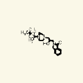 CC(C)(C)OC(=O)N1CCN(CC(O)CN2Cc3ccccc3C2=O)CC1